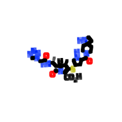 C[C@@H](NC(=O)Cn1cnnn1)[C@H]1C(=O)N2C(C(=O)O)=C(S[C@@H]3CNC(C(=O)N4CCC5(CCN5)CC4)C3)[C@H](C)[C@@H]12